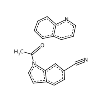 CC(=O)n1ccc2ccc(C#N)cc21.c1ccc2ncccc2c1